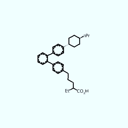 CCC[C@H]1CC[C@H](c2ccc(-c3ccccc3-c3ccc(CCCC(CC)C(=O)O)cc3)cc2)CC1